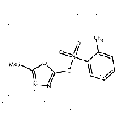 CSc1nnc(OS(=O)(=O)c2ccccc2C(F)(F)F)o1